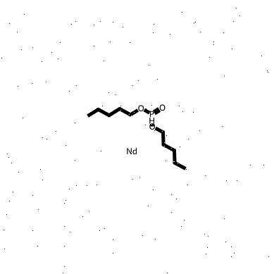 CCCCCO[PH](=O)OCCCCC.[Nd]